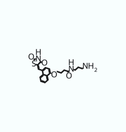 NCCCNC(=O)CCCOc1ccc(C=C2SC(=O)NC2=O)c2ccccc12